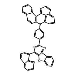 c1ccc2c3c(ccc2c1)N(c1ccc(-c2nc(-c4cccc5cccnc45)c4oc5ccccc5c4n2)cc1)c1cccc2cccc-3c12